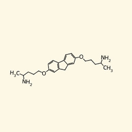 CC(N)CCCOc1ccc2c(c1)Cc1cc(OCCCC(C)N)ccc1-2